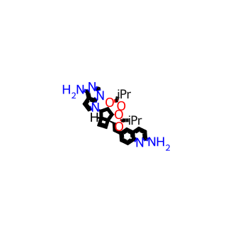 CC(C)C(=O)O[C@H]1[C@H](n2ccc3c(N)ncnc32)[C@H]2C=C[C@@]2(CCc2ccc3nc(N)ccc3c2)[C@H]1OC(=O)C(C)C